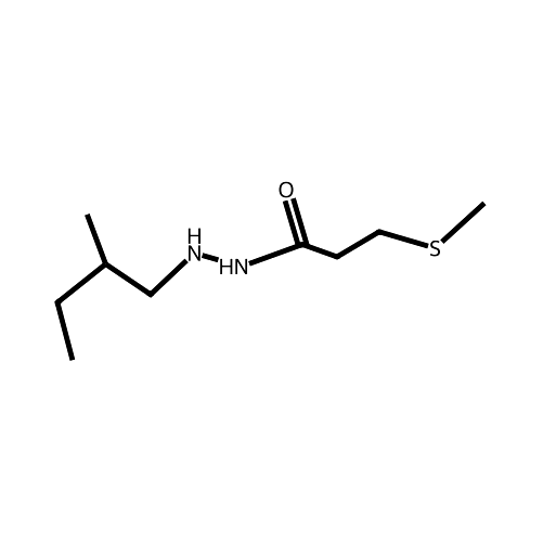 CCC(C)CNNC(=O)CCSC